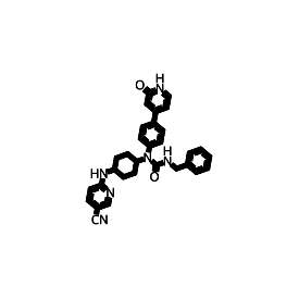 N#Cc1ccc(NC2CCC(N(C(=O)NCc3ccccc3)c3ccc(-c4cc[nH]c(=O)c4)cc3)CC2)nc1